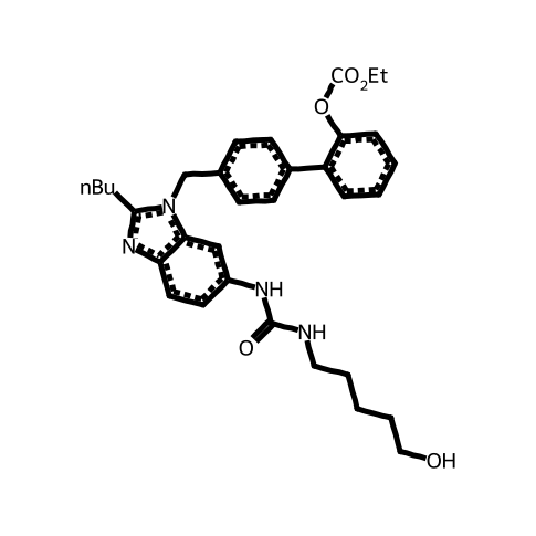 CCCCc1nc2ccc(NC(=O)NCCCCCO)cc2n1Cc1ccc(-c2ccccc2OC(=O)OCC)cc1